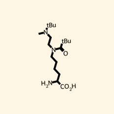 CN(CCN(CCCCC(N)C(=O)O)C(=O)C(C)(C)C)C(C)(C)C